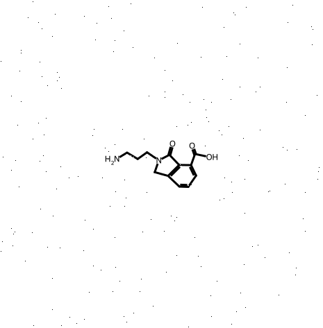 NCCCN1Cc2cccc(C(=O)O)c2C1=O